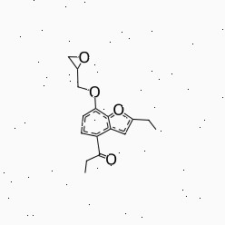 CCC(=O)c1ccc(OCC2CO2)c2oc(CC)cc12